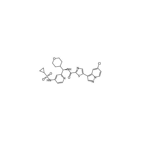 O=C(N[C@@H](c1cc(NS(=O)(=O)C2CC2)ccn1)C1CCOCC1)c1ncc(-c2cnn3ccc(Cl)cc23)s1